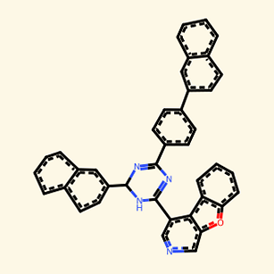 c1ccc2cc(-c3ccc(C4=NC(c5ccc6ccccc6c5)NC(c5cncc6oc7ccccc7c56)=N4)cc3)ccc2c1